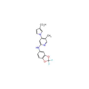 Cc1cnc(Nc2ccc3c(c2)OC(F)(F)O3)cc1-n1ccc(C(=O)O)c1